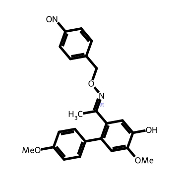 COc1ccc(-c2cc(OC)c(O)cc2/C(C)=N/OCc2ccc(N=O)cc2)cc1